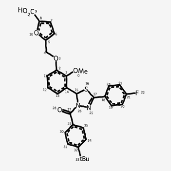 COc1c(OCc2ccc(C(=O)O)o2)cccc1C1SC(c2ccc(F)cc2)=NN1C(=O)c1ccc(C(C)(C)C)cc1